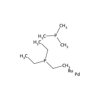 CCP(CC)CC.CP(C)C.[Pd].[Ru]